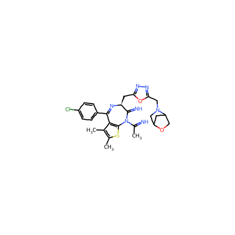 CC(=N)N1C(=N)[C@H](Cc2nnc(CN3CC4CC3CO4)o2)N=C(c2ccc(Cl)cc2)c2c1sc(C)c2C